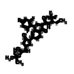 CC[C@H](NC(=O)c1cn(-c2c(F)cc(F)cc2F)c2nc(N3CC(NC(=O)OC(C)(C)C)CC3=O)ccc2c1=O)C(F)(F)F